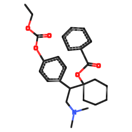 CCOC(=O)Oc1ccc(C(CN(C)C)C2(OC(=O)c3ccccc3)CCCCC2)cc1